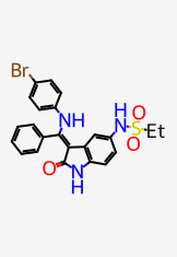 CCS(=O)(=O)Nc1ccc2c(c1)C(=C(Nc1ccc(Br)cc1)c1ccccc1)C(=O)N2